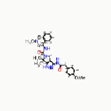 COc1ccc(CC(=O)Nc2n[nH]c3c2CN(C(=O)N[C@H](CN(C)C)c2ccccc2)C3(C)C)cc1